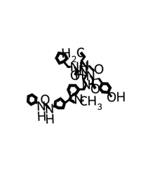 C=CCN1CC(=O)N2[C@@H](Cc3ccc(O)cc3)C(=O)N(Cc3cccc4c(-c5ccc(NC(=O)Nc6ccccc6)cc5)cn(C)c34)C[C@@H]2N1C(=O)NCc1ccccc1